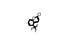 FC(F)(F)C1C=CC=C2OC(Cl)=CC=C21